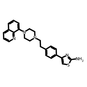 Nc1nc(-c2ccc(CCN3CCN(c4cccc5cccnc45)CC3)cc2)cs1